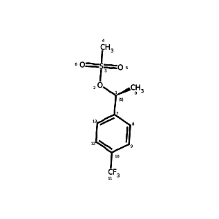 C[C@H](OS(C)(=O)=O)c1ccc(C(F)(F)F)cc1